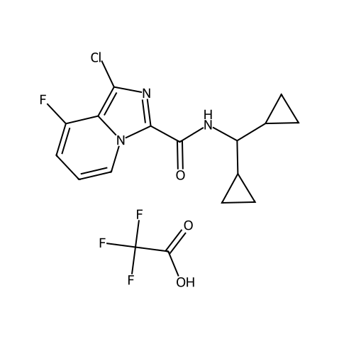 O=C(NC(C1CC1)C1CC1)c1nc(Cl)c2c(F)cccn12.O=C(O)C(F)(F)F